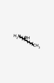 CCCCCCCCC(O)CCCN